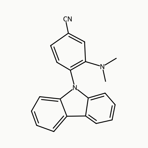 CN(C)c1cc(C#N)ccc1-n1c2ccccc2c2ccccc21